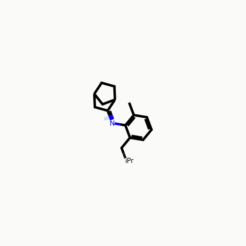 Cc1cccc(CC(C)C)c1/N=C1/CC2CCC1C2